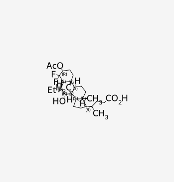 CC[C@H]1[C@@H](O)[C@@H]2[C@H](CC[C@]3(C)[C@@H](C(C)CCC(=O)O)CC[C@@H]23)[C@@]2(C)CC[C@@H](OC(C)=O)C(F)(F)[C@@H]12